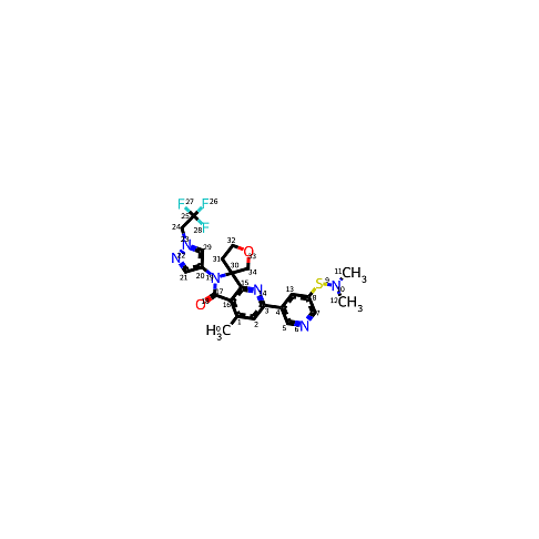 Cc1cc(-c2cncc(SN(C)C)c2)nc2c1C(=O)N(c1cnn(CC(F)(F)F)c1)C21CCOC1